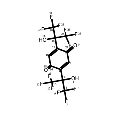 O=C1C=C(C(O)(C(F)(F)F)C(F)(F)F)C(=O)C=C1C(O)(C(F)(F)F)C(F)(F)F